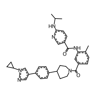 Cc1ccc(C(=O)N2CCC(c3ccc(-c4cnn(C5CC5)c4)cc3)CC2)cc1NC(=O)c1ccc(NC(C)C)nc1